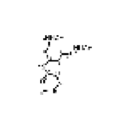 CC(=O)NCCC(CCSNC(C)=O)SC1CCCCO1